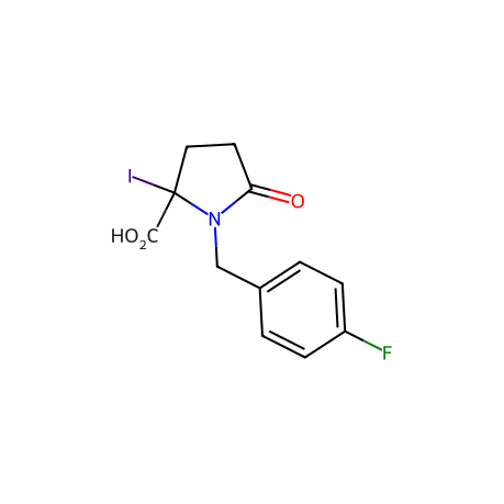 O=C1CCC(I)(C(=O)O)N1Cc1ccc(F)cc1